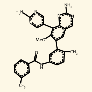 COc1c(-c2cc(NC(=O)c3cccc(C(F)(F)F)c3)ccc2C)cc2cnc(N)nc2c1-c1cnc(N)nc1